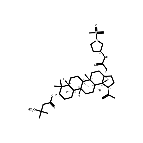 C=C(C)[C@@H]1CC[C@]2(CC(=O)N[C@H]3CCN(S(=C)(C)=O)C3)CC[C@]3(C)[C@H](CC[C@@H]4[C@@]5(C)CC[C@H](OC(=O)CC(C)(C)C(=O)O)C(C)(C)[C@@H]5CC[C@]43C)[C@@H]12